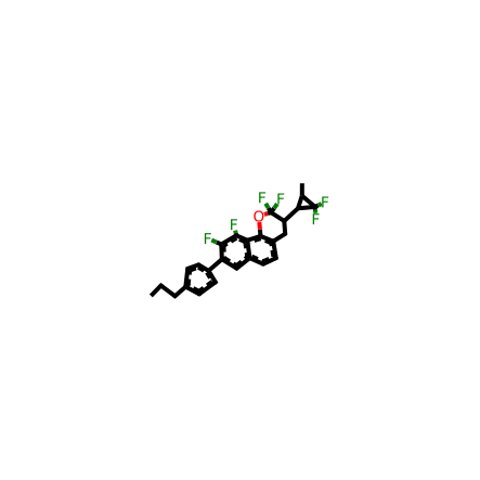 CCCc1ccc(-c2cc3ccc4c(c3c(F)c2F)OC(F)(F)C(C2C(C)C2(F)F)C4)cc1